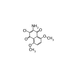 COc1ccc(OC)c2c1C(=O)C(N)=C(Cl)C2=O